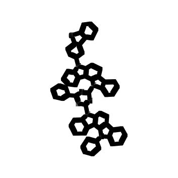 c1ccc(-c2nc(-n3c4ccccc4c4c3ccc3c5ccccc5n(-c5ccccc5)c34)nc(-n3c4ccccc4c4ccc5c(c6ccccc6n5-c5ccc6oc7ccccc7c6c5)c43)n2)cc1